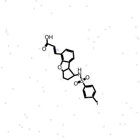 O=C(O)/C=C/c1cccc2c1OC1CCC(NS(=O)(=O)c3ccc(I)cc3)C21